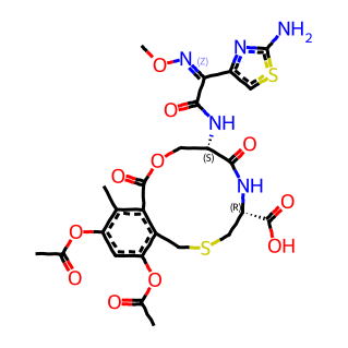 CO/N=C(\C(=O)N[C@H]1COC(=O)c2c(C)c(OC(C)=O)cc(OC(C)=O)c2CSC[C@@H](C(=O)O)NC1=O)c1csc(N)n1